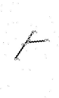 CCCCCCCCCCCCCC(=O)OCC(COCCOCCOC)OC(=O)CCCCCCCCCCCC